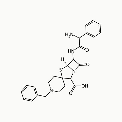 NC(C(=O)NC1C(=O)N2C(C(=O)O)C3(CCN(Cc4ccccc4)CC3)S[C@@H]12)c1ccccc1